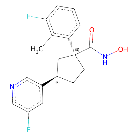 Cc1c(F)cccc1[C@]1(C(=O)NO)CC[C@@H](c2cncc(F)c2)C1